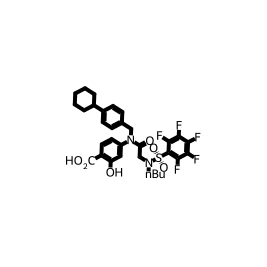 CCCCN(CC(=O)N(Cc1ccc(C2CCCCC2)cc1)c1ccc(C(=O)O)c(O)c1)S(=O)(=O)c1c(F)c(F)c(F)c(F)c1F